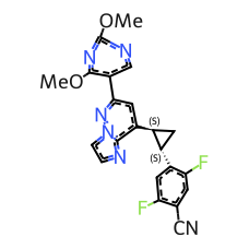 COc1ncc(-c2cc([C@H]3C[C@@H]3c3cc(F)c(C#N)cc3F)c3nccn3n2)c(OC)n1